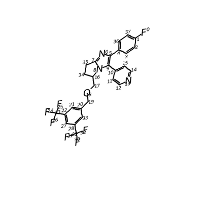 Fc1ccc(-c2nc3n(c2-c2ccncc2)C(COCc2cc(C(F)(F)F)cc(C(F)(F)F)c2)CC3)cc1